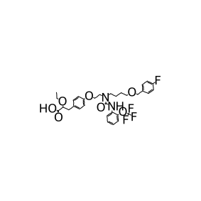 CCOC(Cc1ccc(OCCN(CCCCOCc2ccc(F)cc2)C(=O)Nc2ccccc2OC(F)(F)F)cc1)C(=O)O